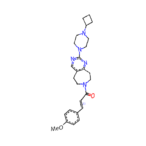 COc1ccc(/C=C/C(=O)N2CCc3cnc(N4CCN(C5CCC5)CC4)nc3CC2)cc1